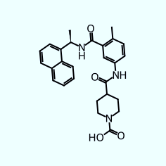 Cc1ccc(NC(=O)C2CCN(C(=O)O)CC2)cc1C(=O)N[C@H](C)c1cccc2ccccc12